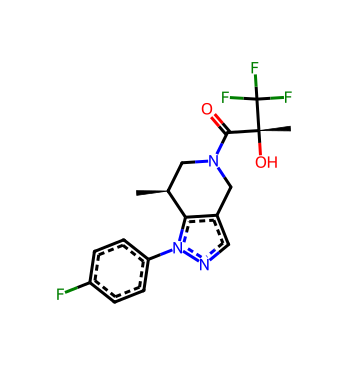 C[C@H]1CN(C(=O)[C@@](C)(O)C(F)(F)F)Cc2cnn(-c3ccc(F)cc3)c21